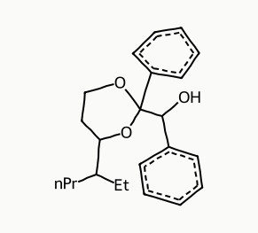 CCCC(CC)C1CCOC(c2ccccc2)(C(O)c2ccccc2)O1